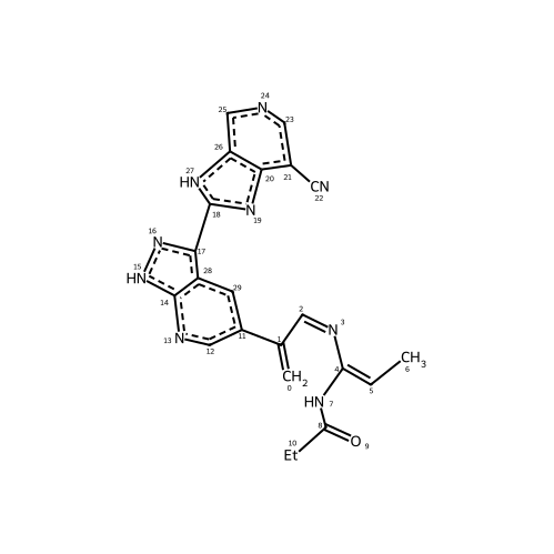 C=C(/C=N\C(=C/C)NC(=O)CC)c1cnc2[nH]nc(-c3nc4c(C#N)cncc4[nH]3)c2c1